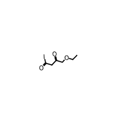 CCOCC(=O)CC(=O)I